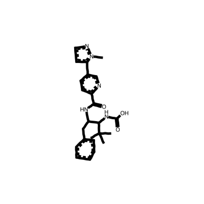 Cn1nccc1-c1ccc(C(=O)NC(Cc2ccccc2)C(NC(=O)O)C(C)(C)C)nc1